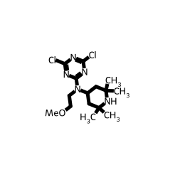 COCCN(c1nc(Cl)nc(Cl)n1)C1CC(C)(C)NC(C)(C)C1